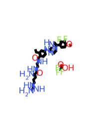 CCc1cc(Nc2nccn3c(-c4ccc(OC)c(F)c4F)cnc23)ccc1C(=O)NCCNC(=O)[C@@H](N)CCCNC(=N)N.O=C(O)C(F)(F)F